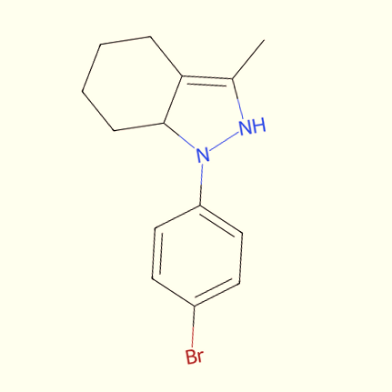 CC1=C2CCCCC2N(c2ccc(Br)cc2)N1